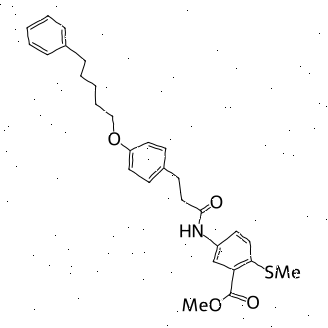 COC(=O)c1cc(NC(=O)CCc2ccc(OCCCCCc3ccccc3)cc2)ccc1SC